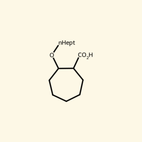 CCCCCCCOC1CCCCCC1C(=O)O